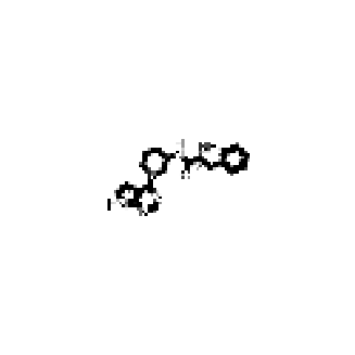 N[C@@H](Cc1ccccc1)C(=O)NC1CCCN(c2ncnc3[nH]ccc23)C1